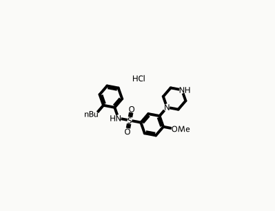 CCCCc1ccccc1NS(=O)(=O)c1ccc(OC)c(N2CCNCC2)c1.Cl